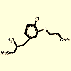 COCCOc1cc(CC(N)CSC)ccc1Cl